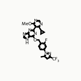 COc1ncnc(C2CC2)c1-c1nc(OCc2ccc(-n3nc(C(F)(F)F)cc3C)cc2F)c2[nH]cnc2n1